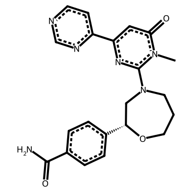 Cn1c(N2CCCO[C@H](c3ccc(C(N)=O)cc3)C2)nc(-c2ccncn2)cc1=O